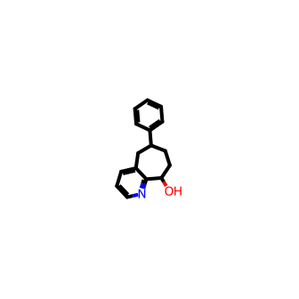 OC1CCC(c2ccccc2)Cc2cccnc21